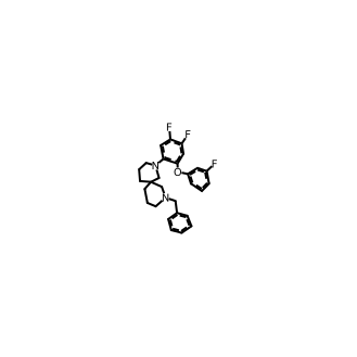 Fc1cccc(Oc2cc(F)c(F)cc2N2CCCC3(CCCN(Cc4ccccc4)C3)C2)c1